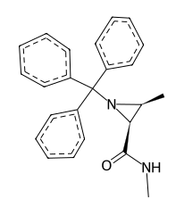 CNC(=O)[C@@H]1[C@H](C)N1C(c1ccccc1)(c1ccccc1)c1ccccc1